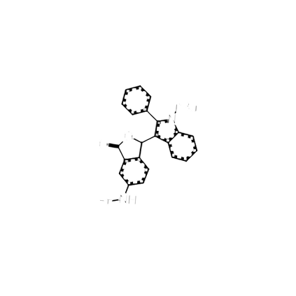 CCCCn1c(-c2ccccc2)c(C2OC(=O)c3cc(NCC)ccc32)c2ccccc21